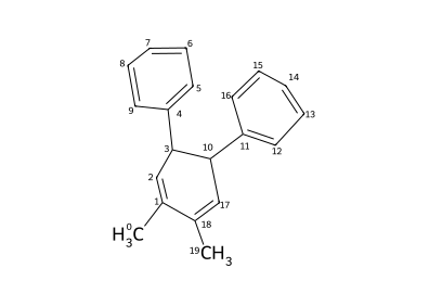 CC1=CC(c2ccccc2)C(c2ccccc2)C=C1C